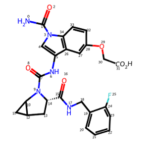 NC(=O)n1cc(NC(=O)N2C3CC3C[C@H]2C(=O)NCc2ccccc2F)c2cc(OCC(=O)O)ccc21